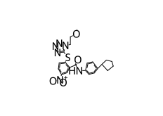 COCCn1nnnc1Sc1ccc([N+](=O)[O-])cc1C(=O)Nc1ccc(C2CCCC2)cc1